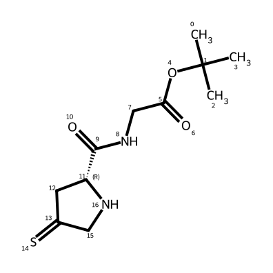 CC(C)(C)OC(=O)CNC(=O)[C@H]1CC(=S)CN1